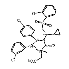 C[C@@]1(CC(=O)O)C[C@H](c2cccc(Cl)c2)[C@@H](c2ccc(Cl)cc2)N([C@H](CS(=O)(=O)c2ccccc2Cl)C2CC2)C1=O